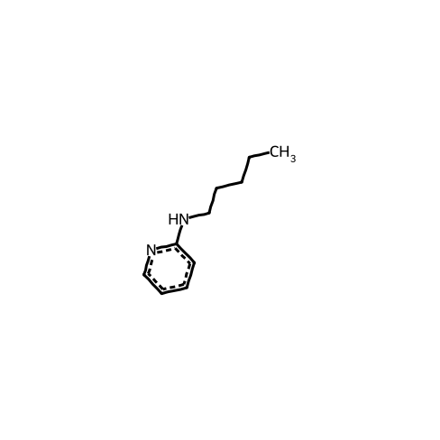 CCCCCNc1ccccn1